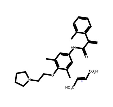 C=C(C(=O)Nc1cc(C)c(OCCN2CCCC2)c(C)c1)c1ccccc1C.O=C(O)/C=C/C(=O)O